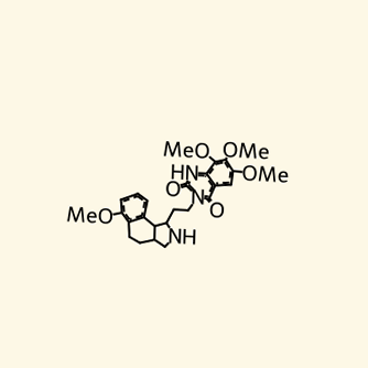 COc1cccc2c1CCC1CNC(CCn3c(=O)[nH]c4c(OC)c(OC)c(OC)cc4c3=O)C21